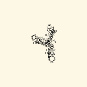 CCC(C)(C1=CC(F)=C(C2CCCCCC2)C2NNNC12)c1ccc(C(C)(C)c2cc(C(C)(C)c3ccc(C(C)(CC)c4cc(F)c(C5CCCCCCC5)c5n[nH]nc45)s3)cc(C(C)(CC)c3ccc(C(C)(CC)C4=CC(F)=C(C5CCCCCCCCCC5)C5NNNC45)s3)c2)s1